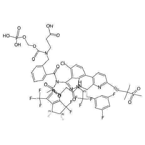 C[C@@H]1c2c(C(F)(F)F)nn(CC(=O)N[C@@H](Cc3cc(F)cc(F)c3)c3nc(C#CC(C)(C)S(C)(=O)=O)ccc3-c3ccc(Cl)c4c(N(C(=O)c5ccccc5CN(CCC(=O)O)C(=O)OCOP(=O)(O)O)S(C)(=O)=O)nn(CC(F)(F)F)c34)c2C(F)(F)[C@@H]1C